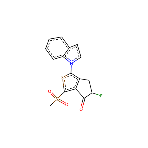 CS(=O)(=O)c1sc(-n2ccc3ccccc32)c2c1C(=O)C(F)C2